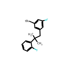 CC(C)(C)c1cc(F)cc(CC(C)(C)c2ccccc2F)c1